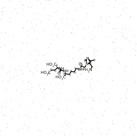 NCc1c(I)nnn1CC(=O)NCCCC[C@H](NC(=O)N[C@@H](CCC(=O)O)C(=O)O)C(=O)O